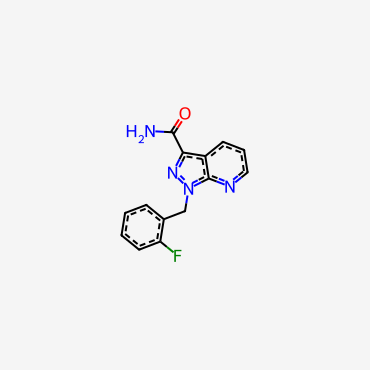 NC(=O)c1nn(Cc2ccccc2F)c2ncccc12